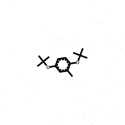 Cc1cc(OC(C)(C)C)ccc1OC(C)(C)C